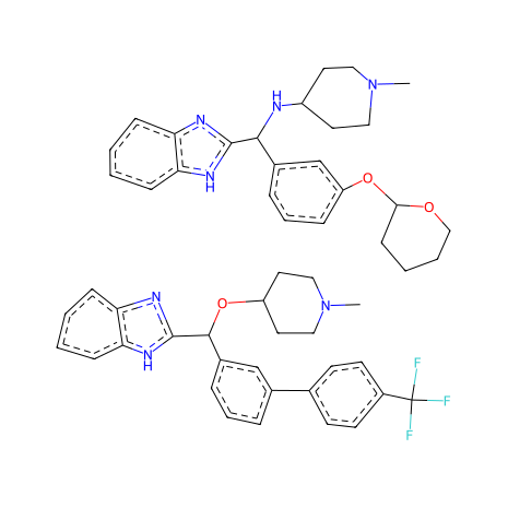 CN1CCC(NC(c2cccc(OC3CCCCO3)c2)c2nc3ccccc3[nH]2)CC1.CN1CCC(OC(c2cccc(-c3ccc(C(F)(F)F)cc3)c2)c2nc3ccccc3[nH]2)CC1